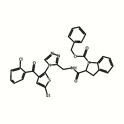 CCc1cc(C(=O)c2ccccc2Cl)c(-n2cnnc2CNC(=O)C2Cc3ccccc3N2C(=O)OCc2ccccc2)s1